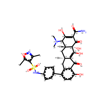 Cc1noc(C)c1S(=O)(=O)Nc1ccc(-c2ccc(O)c3c2C[C@H]2C[C@@H]4C(N(C)C)C(O)=C(C(N)=O)C(=O)[C@@]4(O)C(O)=C2C3=O)cc1